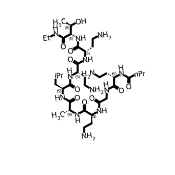 CCCC(=O)N[C@@H](CCN)C(=O)NCC(=O)N[C@@H](CCN)C(=O)N[C@H](C)C(=O)N[C@@H](CC(C)C)C(=O)N[C@@H](CCN)C(=O)N[C@@H](CCN)C(=O)N[C@H](C(=O)NCC)[C@@H](C)O